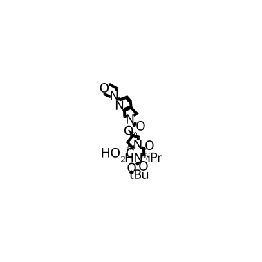 CC(C)[C@H](NC(=O)OC(C)(C)C)C(=O)N1C[C@H](OC(=O)N2Cc3ccc(N4CCOCC4)nc3C2)C[C@H]1C(=O)O